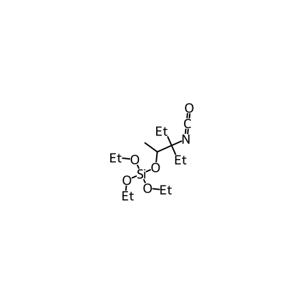 CCO[Si](OCC)(OCC)OC(C)C(CC)(CC)N=C=O